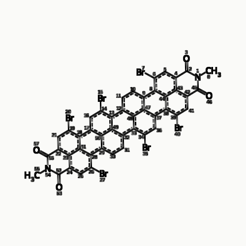 CN1C(=O)c2cc(Br)c3c4ccc5c6c(Br)cc7c8c(Br)cc9c%10c(cc(Br)c(c%11ccc(c%12c(Br)cc(c%13c(Br)cc(c2c3%13)C1=O)c4c5%12)c6c%117)c%108)C(=O)N(C)C9=O